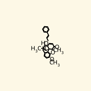 COc1ccc2c3c1O[C@@]1(C)C(=O)C=CC4(OCC=Cc5ccccc5)[C@@H](C2)N(C)CC[C@@]341